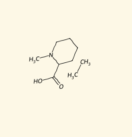 CC.CN1CCCCC1C(=O)O